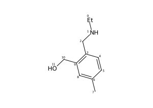 CCNCc1ccc(C)cc1CO